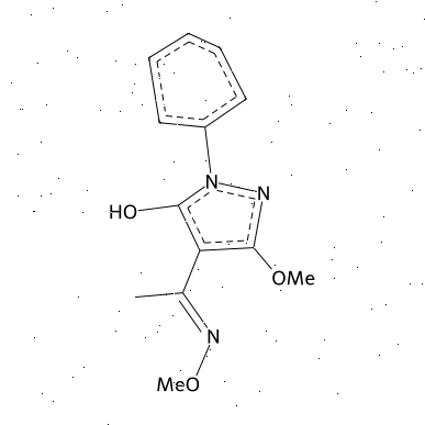 CON=C(C)c1c(OC)nn(-c2ccccc2)c1O